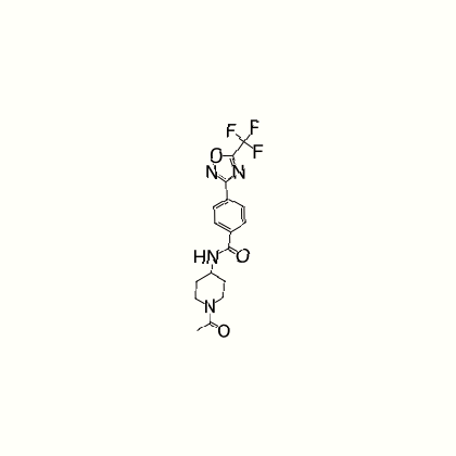 CC(=O)N1CCC(NC(=O)c2ccc(-c3noc(C(F)(F)F)n3)cc2)CC1